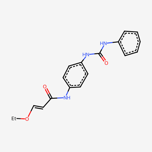 CCO/C=C/C(=O)Nc1ccc(NC(=O)Nc2ccccc2)cc1